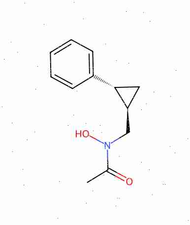 CC(=O)N(O)C[C@@H]1C[C@H]1c1ccccc1